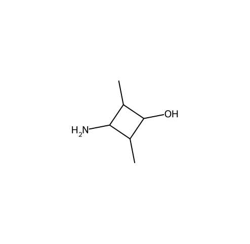 CC1C(N)C(C)C1O